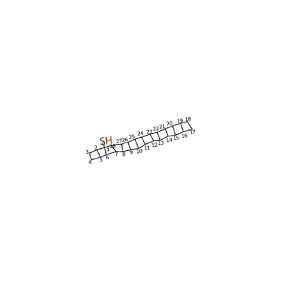 S[C@]12C3CCC3C1C1C3C4C5C6C7C8C9C%10C%11CCC%11C%10C9C8C7C6C5C4C3C12